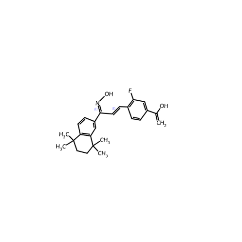 C=C(O)c1ccc(/C=C/C(=N\O)c2ccc3c(c2)C(C)(C)CCC3(C)C)c(F)c1